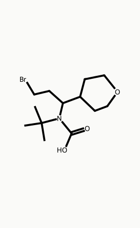 CC(C)(C)N(C(=O)O)C(CCBr)C1CCOCC1